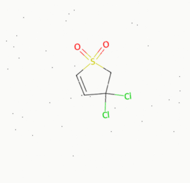 O=S1(=O)C=[C]C(Cl)(Cl)C1